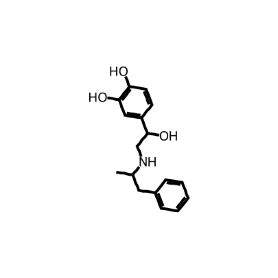 CC(Cc1ccccc1)NCC(O)c1ccc(O)c(O)c1